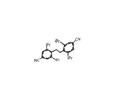 CC(C)c1cc(C#N)cc(C(C)C)c1CCc1c(C(C)C)cc(C#N)cc1C(C)C